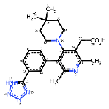 Cc1nc(C)c(-c2cccc(-c3nnn[nH]3)c2)c(N2CCC(C)(C)CC2)c1CC(=O)O